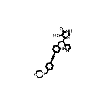 O=c1[nH]cnc(C(Cc2ccc(C#Cc3ccc(CN4CCOCC4)cc3)cc2)c2ccn[nH]2)c1O